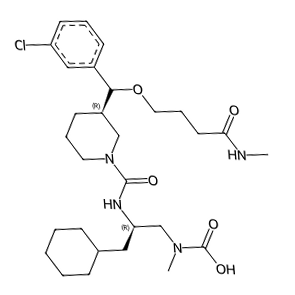 CNC(=O)CCCOC(c1cccc(Cl)c1)[C@@H]1CCCN(C(=O)N[C@H](CC2CCCCC2)CN(C)C(=O)O)C1